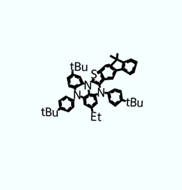 CCc1cc2c3c(c1)N(c1ccc(C(C)(C)C)cc1)c1c(sc4cc5c(cc14)-c1ccccc1C5(C)C)N3c1cc(C(C)(C)C)ccc1N2c1ccc(C(C)(C)C)cc1